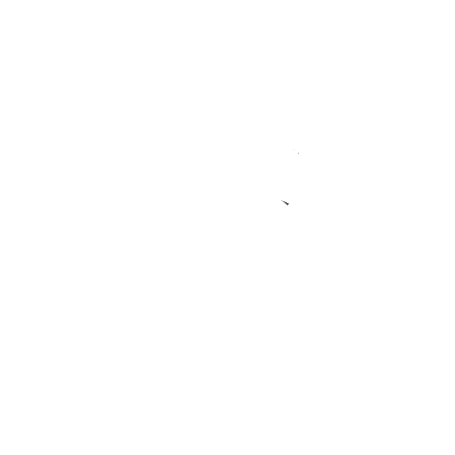 Cc1ccc(C[C@@H]2CCCN2C[C@@H](O)CO[C@H](C)c2cc(Cl)ccc2CCC(=O)O)cc1F